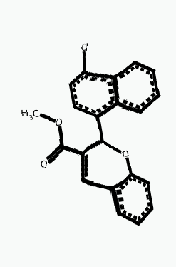 COC(=O)C1=Cc2ccccc2OC1c1ccc(Cl)c2ccccc12